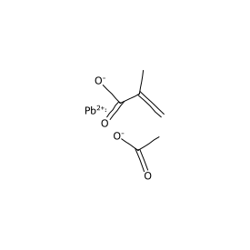 C=C(C)C(=O)[O-].CC(=O)[O-].[Pb+2]